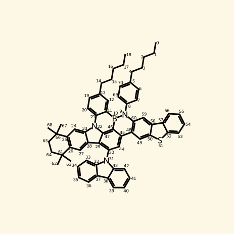 CCCCCc1ccc(N2B3c4cc(CCCCC)ccc4-n4c5cc6c(cc5c5c(-n7c8ccccc8c8ccccc87)cc(c3c54)-c3cc4sc5ccccc5c4cc32)C(C)(C)CCC6(C)C)cc1